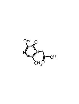 Cc1cnc(O)c(=O)n1CC(=O)O